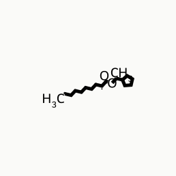 CCCCCCCC[CH]C(=O)OC(C)C1CCCC1